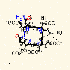 C[C@@]12CC(=O)N[C@@]13C[C@@H]1N=C(CC4N=C(/C=C5\[N-]/C(=C\C(=N3)[C@H]2CCC(=O)[O-])[C@@H](CC(=O)[O-])[C@@H]5CCC(=O)[O-])C(CCC(=O)[O-])[C@@H]4CC(=O)[O-])[C@@](C)(CC(N)=O)[C@@H]1CCC(=O)[O-].[Ni]